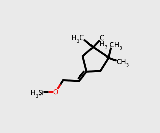 CC1(C)CC(=CCO[SiH3])CC1(C)C